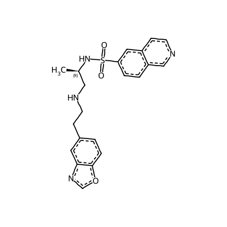 C[C@H](CNCCc1ccc2ocnc2c1)NS(=O)(=O)c1ccc2cnccc2c1